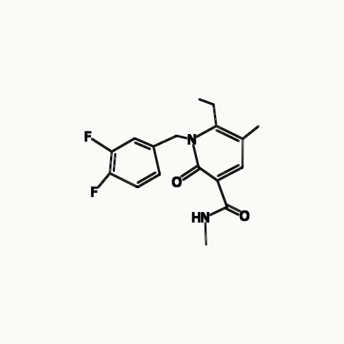 CCc1c(C)cc(C(=O)NC)c(=O)n1Cc1ccc(F)c(F)c1